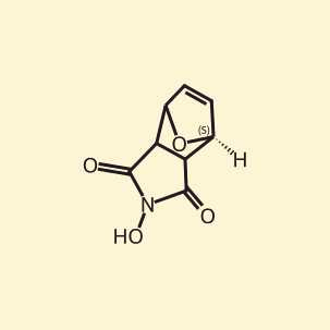 O=C1C2C3C=C[C@H](O3)C2C(=O)N1O